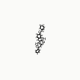 C/C(=C/C(=O)c1ccccc1)N[C@@H](Cc1ccc(OCc2ccccc2)cc1)C(=O)O